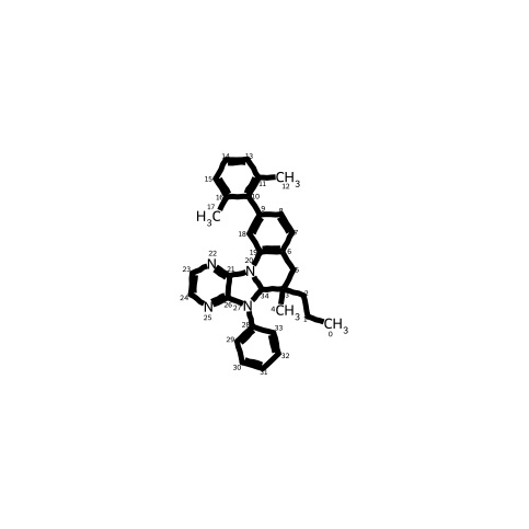 CCCC1(C)Cc2ccc(-c3c(C)cccc3C)cc2N2c3nccnc3N(c3ccccc3)C21